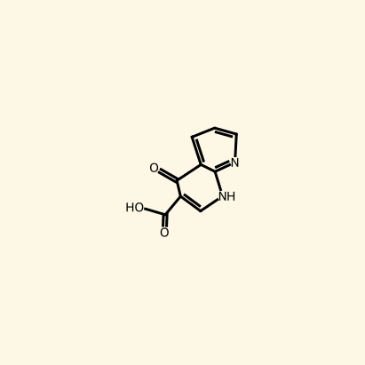 O=C(O)c1c[nH]c2ncccc2c1=O